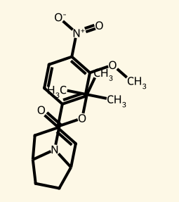 COc1cc(C2=CC3CCC(C2)N3C(=O)OC(C)(C)C)ccc1[N+](=O)[O-]